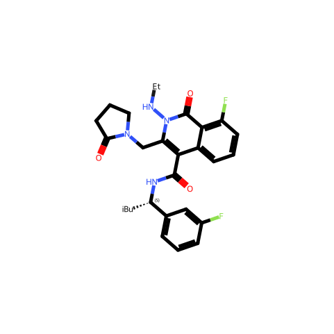 CCNn1c(CN2CCCC2=O)c(C(=O)N[C@H](c2cccc(F)c2)C(C)CC)c2cccc(F)c2c1=O